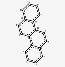 [c]1[c]c2c3ccccc3ccc2c2ccccc12